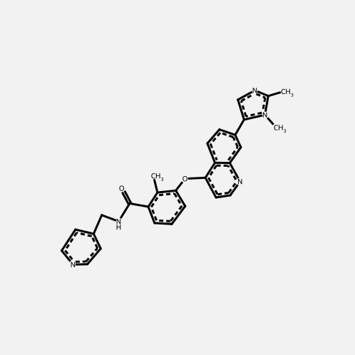 Cc1c(Oc2ccnc3cc(-c4cnc(C)n4C)ccc23)cccc1C(=O)NCc1ccncc1